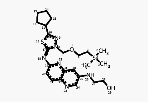 C[Si](C)(C)CCOCn1nc(C2CCCC2)sc1=Nc1ccc2ncc(NCCO)cc2n1